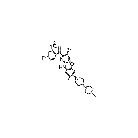 COc1cc(N2CCC(N3CCN(C)CC3)CC2)c(C)cc1Nc1ncc(Br)c(Nc2ccc(F)cc2P(C)(C)=O)n1